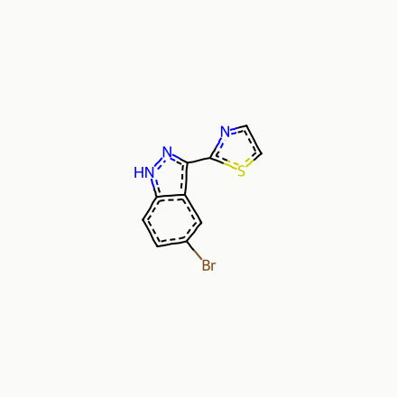 Brc1ccc2[nH]nc(-c3nccs3)c2c1